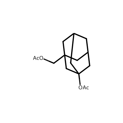 CC(=O)OCC12CC3CC(C1)CC(OC(C)=O)(C3)C2